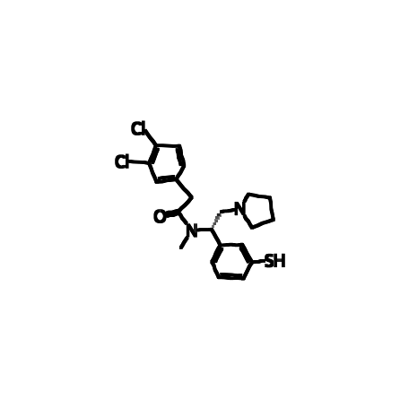 CN(C(=O)Cc1ccc(Cl)c(Cl)c1)[C@H](CN1CCCC1)c1cccc(S)c1